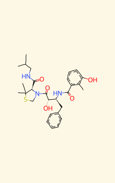 Cc1c(O)cccc1C(=O)N[C@@H](Cc1ccccc1)[C@H](O)C(=O)N1CSC(C)(C)[C@H]1C(=O)NCC(C)C